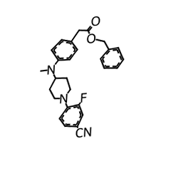 CN(c1ccc(CC(=O)OCc2ccccc2)cc1)C1CCN(c2ccc(C#N)cc2F)CC1